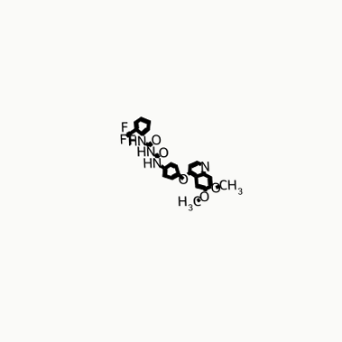 COc1cc2nccc(Oc3ccc(NC(=O)NC(=O)Nc4ccccc4C(F)(F)F)cc3)c2cc1OC